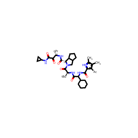 CCC[C@H](NC(=O)[C@@H]1C2CCCC2CN1C(=O)[C@@H](NC(=O)C(NC(=O)c1[nH]c(C)c(C)c1C(C)=O)C1CCCCC1)C(C)(C)C)C(=O)C(=O)NC1CC1